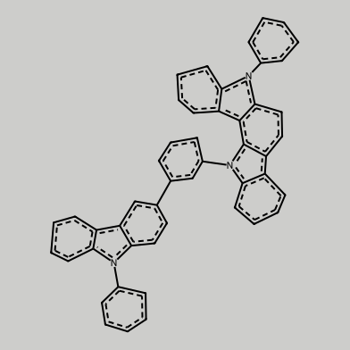 c1ccc(-n2c3ccccc3c3cc(-c4cccc(-n5c6ccccc6c6ccc7c(c8ccccc8n7-c7ccccc7)c65)c4)ccc32)cc1